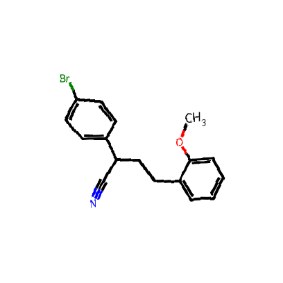 COc1ccccc1CCC(C#N)c1ccc(Br)cc1